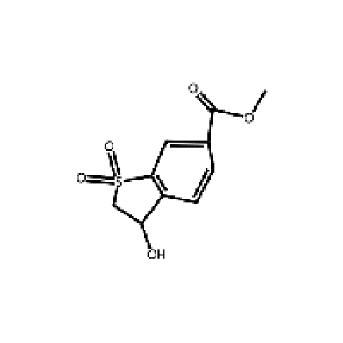 COC(=O)c1ccc2c(c1)S(=O)(=O)CC2O